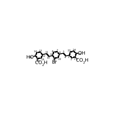 O=C(O)c1cc(/C=C/c2ccc(/C=C/c3ccc(O)c(C(=O)O)c3)c(Br)c2)ccc1O